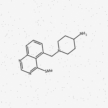 CSc1ncnc2cccc(CN3CCC(N)CC3)c12